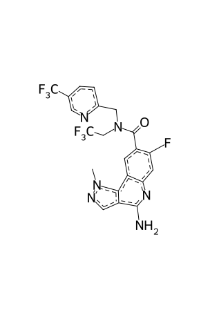 Cn1ncc2c(N)nc3cc(F)c(C(=O)N(Cc4ccc(C(F)(F)F)cn4)CC(F)(F)F)cc3c21